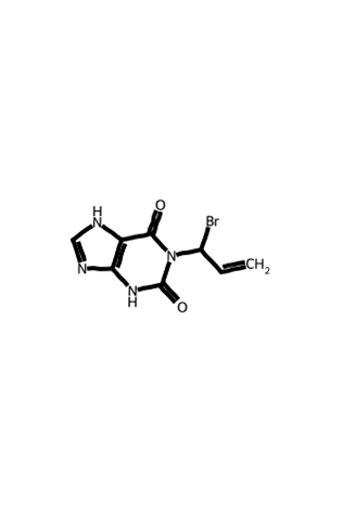 C=CC(Br)n1c(=O)[nH]c2nc[nH]c2c1=O